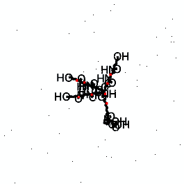 O=C(CCCCO)NCCCNC(=O)CCOCC(COCCC(=O)NCCCNC(=O)CCCCO)(COCCC(=O)NCCCNC(=O)CCCCO)NC(=O)CCCCCCCCC(=O)N1CCC[C@H]1COP(=O)(O)O